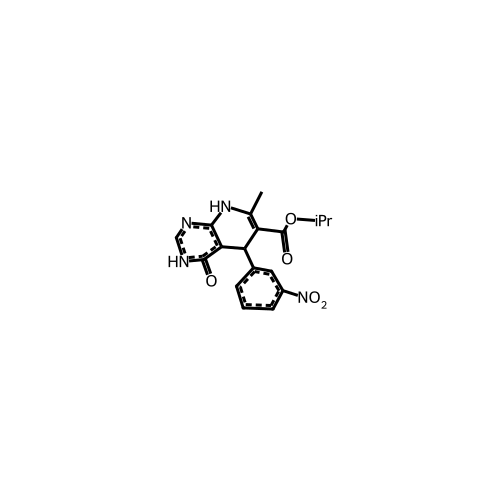 CC1=C(C(=O)OC(C)C)C(c2cccc([N+](=O)[O-])c2)c2c(nc[nH]c2=O)N1